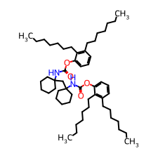 CCCCCCCc1cccc(OC(=O)NC2(CC3(NC(=O)Oc4cccc(CCCCCCC)c4CCCCCCC)CCCCC3)CCCCC2)c1CCCCCCC